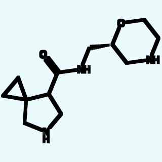 O=C(NC[C@H]1CNCCO1)C1CNCC12CC2